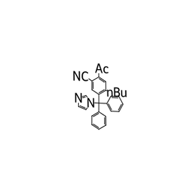 CCCCc1cc(C(C)=O)c(C#N)cc1C(c1ccccc1)(c1ccccc1)n1ccnc1